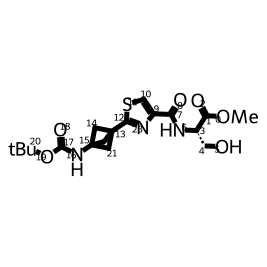 COC(=O)[C@H](CO)NC(=O)c1csc(C23CC(NC(=O)OC(C)(C)C)(C2)C3)n1